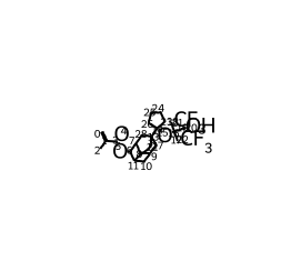 C=C(C)C(=O)OC1C2CC3CC1CC(C1(OC(C)(C)C(O)(C(F)(F)F)C(F)(F)F)CCCC1)(C3)C2